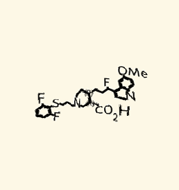 COc1ccc2nccc(C(F)CC[C@@H]3CCN(CCCSc4c(F)cccc4F)C[C@@H]3CC(=O)O)c2c1